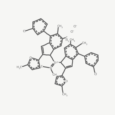 Cc1ccc(C2=Cc3c(cc(C)c(C)c3-c3cccc(Cl)c3)[CH]2[Zr+2]([CH]2C(c3ccc(C)o3)=Cc3c2cc(C)c(C)c3-c2cccc(Cl)c2)=[Si](C)C)o1.[Cl-].[Cl-]